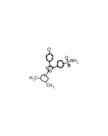 C[C@@H]1C[C@@H](C)CN(c2nc(-c3ccc(Cl)cc3)c(-c3ccc(S(N)(=O)=O)cc3)s2)C1